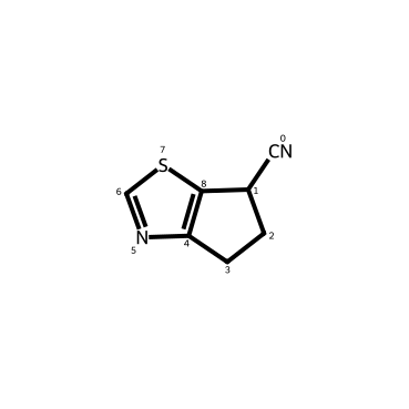 N#CC1CCc2ncsc21